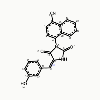 N#Cc1ccc(N2C(=O)N/C(=C/c3cccc(O)c3)C2=O)c2ccccc12